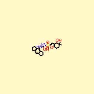 CC1(C)CCc2oc(S(=O)(=O)NC(O)Nc3c4c(cc5c3CCC5)CCC4)cc2C1O